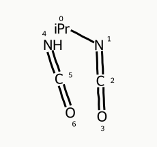 CC(C)N=C=O.N=C=O